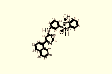 COc1ccccc1NS(=O)(=O)c1cccc(Nc2cc(-c3cccc4ccccc34)ncn2)c1